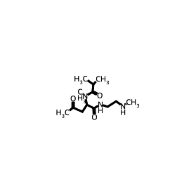 CNCCNC(=O)C(CC(C)=O)N(C)C(=O)C(C)C